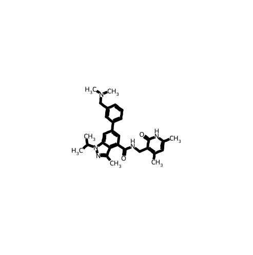 Cc1cc(C)c(CNC(=O)c2cc(-c3cccc(CN(C)C)c3)cc3c2c(C)nn3C(C)C)c(=O)[nH]1